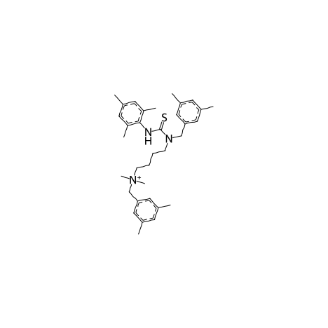 Cc1cc(C)cc(CN(CCCC[N+](C)(C)Cc2cc(C)cc(C)c2)C(=S)Nc2c(C)cc(C)cc2C)c1